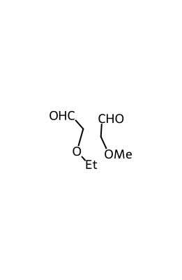 CCOCC=O.COCC=O